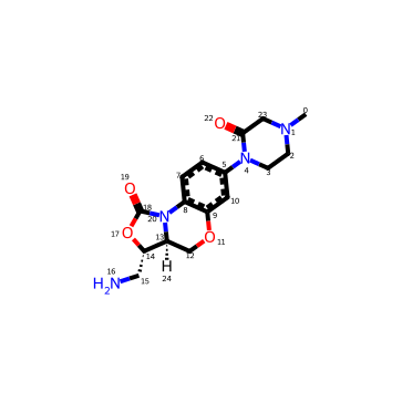 CN1CCN(c2ccc3c(c2)OC[C@H]2[C@H](CN)OC(=O)N32)C(=O)C1